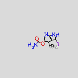 CC(C)(C)c1c(OC(N)=O)cnc2[nH]cc(I)c12